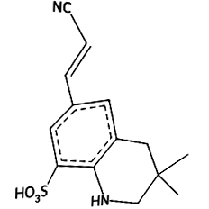 CC1(C)CNc2c(cc(C=CC#N)cc2S(=O)(=O)O)C1